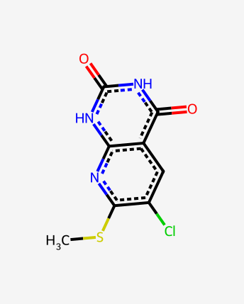 CSc1nc2[nH]c(=O)[nH]c(=O)c2cc1Cl